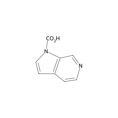 O=C(O)n1ccc2ccncc21